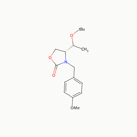 COc1ccc(CN2C(=O)OC[C@@H]2C(C)OC(C)(C)C)cc1